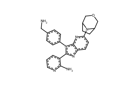 NCc1ccc(-n2c(-c3cccnc3N)nc3ccc(N4C5CCC4COC5)nc32)cc1